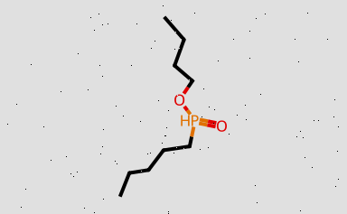 CCCCC[PH](=O)OCCCC